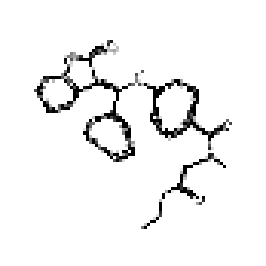 CCOC(=O)CN(C)C(=O)c1ccc(N/C(=C2\C(=O)Nc3ccccc32)c2ccccc2)cc1